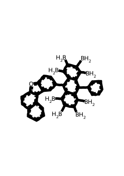 Bc1c(B)c(B)c2c(-c3ccc4oc5ccc6ccccc6c5c4c3)c3c(B)c(B)c(B)c(B)c3c(-c3ccccc3)c2c1B